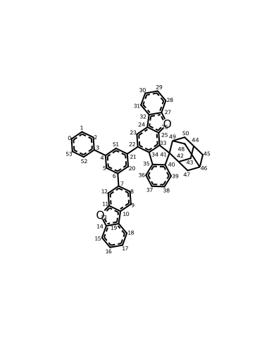 c1ccc(-c2cc(-c3ccc4c(c3)oc3ccccc34)cc(-c3cc4c(oc5ccccc54)c4c3-c3ccccc3C43C4CC5CC(C4)CC3C5)c2)cc1